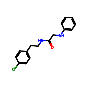 O=C(CNc1ccccc1)NCCc1ccc(Cl)cc1